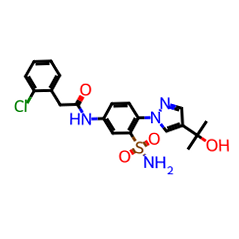 CC(C)(O)c1cnn(-c2ccc(NC(=O)Cc3ccccc3Cl)cc2S(N)(=O)=O)c1